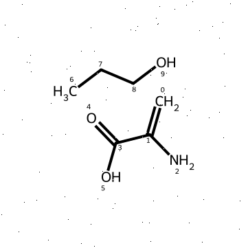 C=C(N)C(=O)O.CCCO